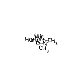 CC(=O)O.CC(C)[N-]C(C)C.[Li+]